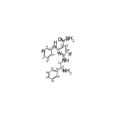 Cc1cncc(Nc2nc(NCC(N)c3ccccc3)c(F)cc2C(N)=O)c1